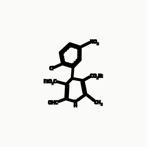 CCOC(=O)C1=C(C)NC(C=O)=C(C(=O)OCC)C1c1cc([N+](=O)[O-])ccc1Cl